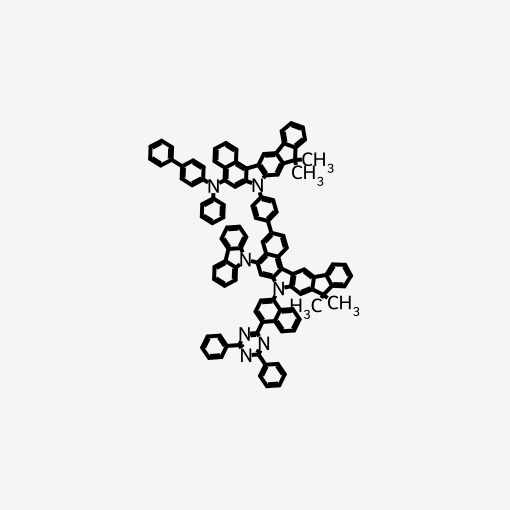 CC1(C)c2ccccc2-c2cc3c4c5ccccc5c(N(c5ccccc5)c5ccc(-c6ccccc6)cc5)cc4n(-c4ccc(-c5ccc6c(c5)c(-n5c7ccccc7c7ccccc75)cc5c6c6cc7c(cc6n5-c5ccc(-c6nc(-c8ccccc8)nc(-c8ccccc8)n6)c6ccccc56)C(C)(C)c5ccccc5-7)cc4)c3cc21